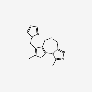 Cc1sc2c(c1Cn1cccn1)COCc1nnc(C)n1-2